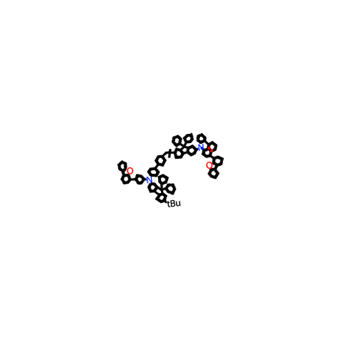 CC(C)(C)c1ccc2c(c1)C(c1ccccc1)(c1ccccc1)c1cc(N(c3ccc(-c4ccc(CC(C)(C)c5ccc6c(c5)C(c5ccccc5)(c5ccccc5)c5cc(N(c7ccc(-c8cccc9c8oc8ccccc89)cc7)c7ccccc7-c7ccccc7)ccc5-6)cc4)cc3)c3ccc(-c4cccc5c4oc4ccccc45)cc3)ccc1-2